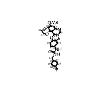 COc1cc2ncnc(Oc3ccc(NC(=O)NCc4ccc(F)cc4)cc3F)c2c2c1OCCO2